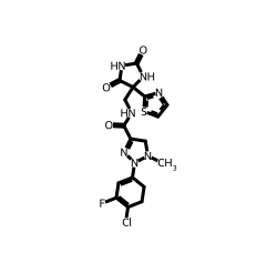 CN1CC(C(=O)NCC2(c3nccs3)NC(=O)NC2=O)=NN1C1=CC(F)=C(Cl)CC1